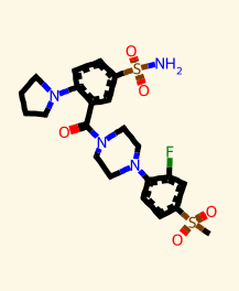 CS(=O)(=O)c1ccc(N2CCN(C(=O)c3cc(S(N)(=O)=O)ccc3N3CCCC3)CC2)c(F)c1